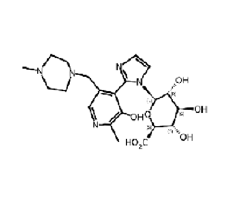 Cc1ncc(CN2CCN(C)CC2)c(-c2nccn2[C@@H]2O[C@H](C(=O)O)[C@@H](O)[C@H](O)[C@H]2O)c1O